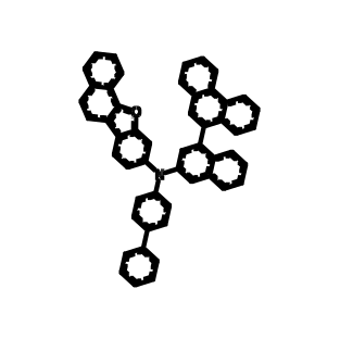 c1ccc(-c2ccc(N(c3cc(-c4cc5ccccc5c5ccccc45)c4ccccc4c3)c3ccc4c(c3)oc3c5ccccc5ccc43)cc2)cc1